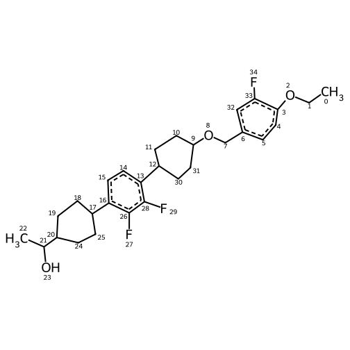 CCOc1ccc(COC2CCC(c3ccc(C4CCC(C(C)O)CC4)c(F)c3F)CC2)cc1F